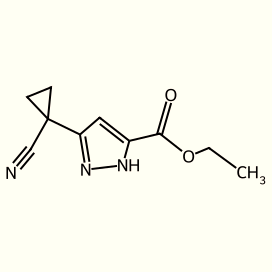 CCOC(=O)c1cc(C2(C#N)CC2)n[nH]1